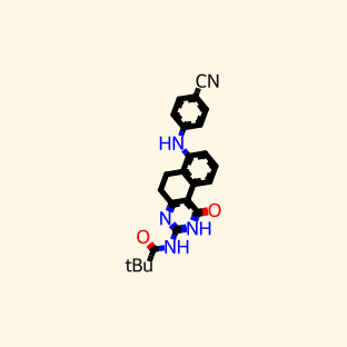 CC(C)(C)C(=O)Nc1nc2c(c(=O)[nH]1)-c1cccc(Nc3ccc(C#N)cc3)c1CC2